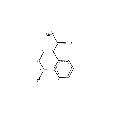 COC(=O)C1CCN(Cl)c2ccccc21